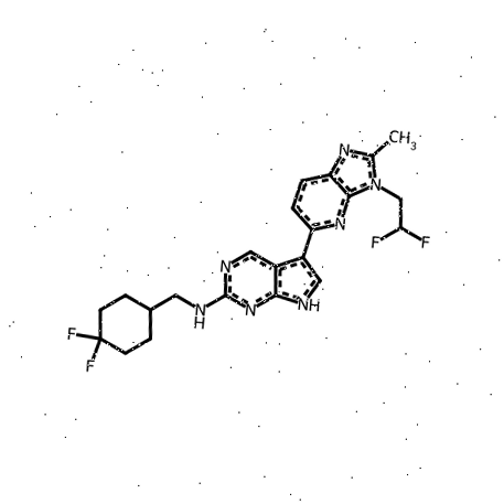 Cc1nc2ccc(-c3c[nH]c4nc(NCC5CCC(F)(F)CC5)ncc34)nc2n1CC(F)F